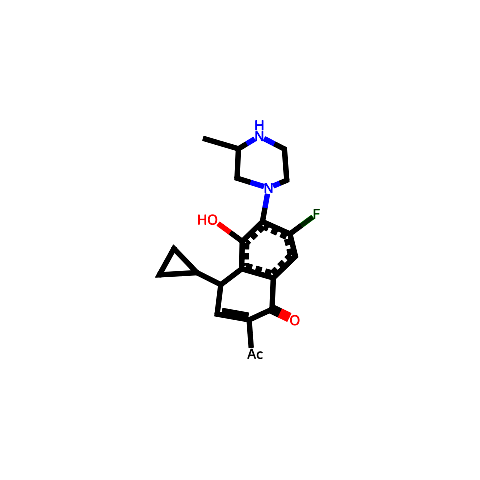 CC(=O)C1=CC(C2CC2)c2c(cc(F)c(N3CCNC(C)C3)c2O)C1=O